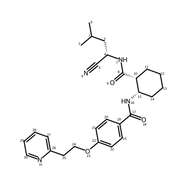 CC(C)C[C@@H](C#N)NC(=O)[C@@H]1CCCC[C@@H]1NC(=O)c1ccc(OCCc2ccccn2)cc1